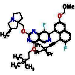 C=C1CN2CCCC2(COc2nc(OCC[Si](C)(C)C)c3cnc(-c4cc(OCOC)cc5ccc(F)c(C#C[Si](C(C)C)(C(C)C)C(C)C)c45)c(F)c3n2)C1